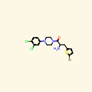 NC(Cc1ccc(Br)s1)C(=O)N1CCN(c2ccc(Cl)c(Cl)c2)CC1